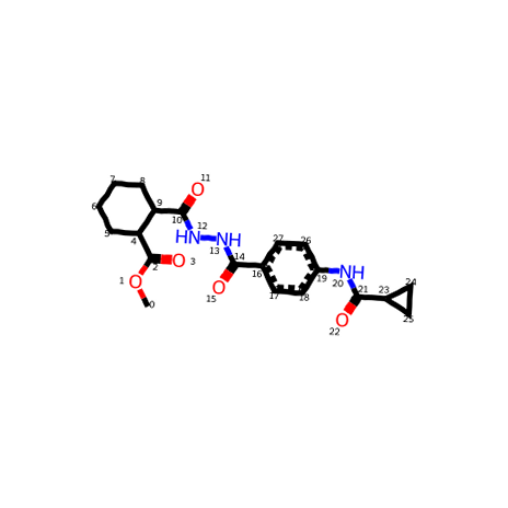 COC(=O)C1CCCCC1C(=O)NNC(=O)c1ccc(NC(=O)C2CC2)cc1